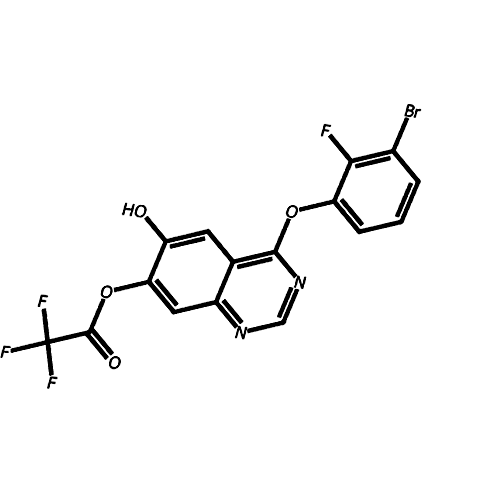 O=C(Oc1cc2ncnc(Oc3cccc(Br)c3F)c2cc1O)C(F)(F)F